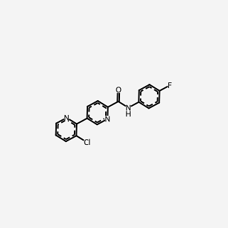 O=C(Nc1ccc(F)cc1)c1ccc(-c2ncccc2Cl)cn1